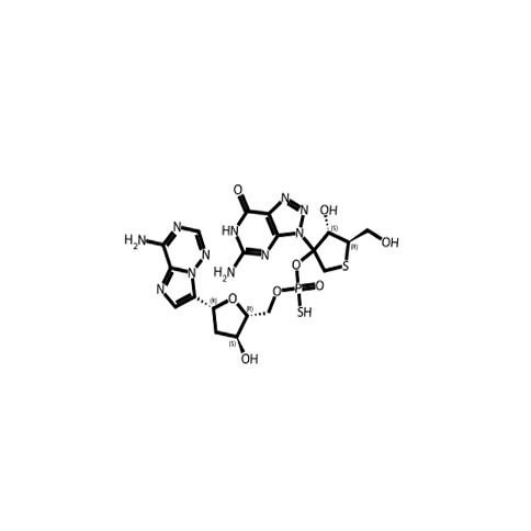 Nc1nc2c(nnn2C2(OP(=O)(S)OC[C@H]3O[C@@H](c4cnc5c(N)ncnn45)C[C@@H]3O)CS[C@H](CO)[C@H]2O)c(=O)[nH]1